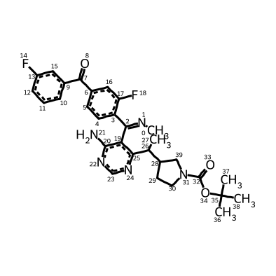 C/N=C(/c1ccc(C(=O)c2cccc(F)c2)cc1F)c1c(N)ncnc1C(C)C1CCN(C(=O)OC(C)(C)C)C1